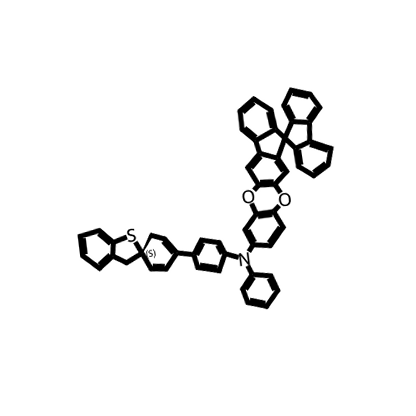 C1=C[C@]2(CC=C1c1ccc(N(c3ccccc3)c3ccc4c(c3)Oc3cc5c(cc3O4)C3(c4ccccc4-c4ccccc43)c3ccccc3-5)cc1)Cc1ccccc1S2